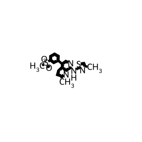 Cc1csc(Nc2ncc(-c3cccc(S(C)(=O)=O)c3)c3ccc(C)nc23)n1